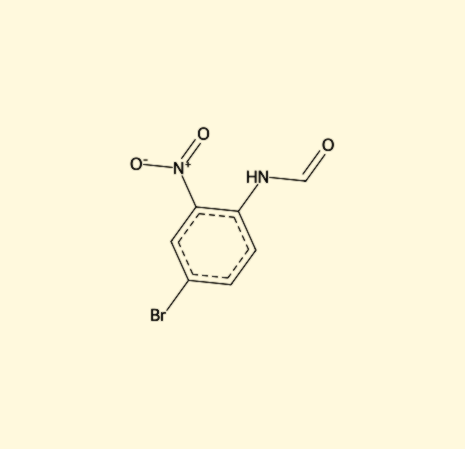 O=CNc1ccc(Br)cc1[N+](=O)[O-]